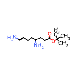 CC(C)(C)OC(=O)CCC(N)CCCCN